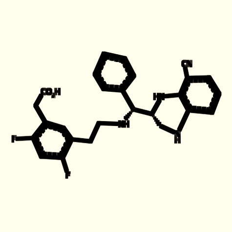 N#Cc1cccc2c1N[C@@H]([C@H](NCCc1cc(CC(=O)O)c(F)cc1F)c1ccccc1)CN2